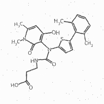 Cc1cccc(C)c1-c1ccc(N(C(=O)NCCC(=O)O)c2c(O)cc(C)n(C)c2=O)s1